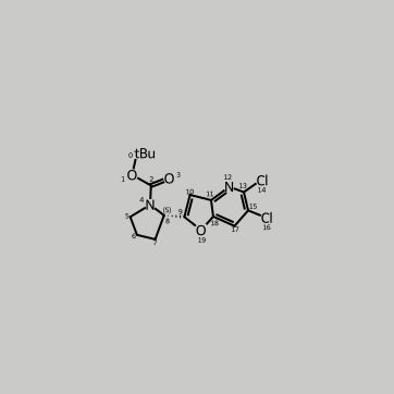 CC(C)(C)OC(=O)N1CCC[C@H]1c1cc2nc(Cl)c(Cl)cc2o1